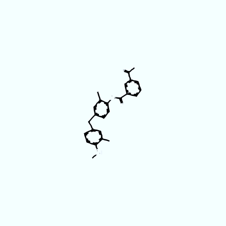 CNc1ccc(Cc2ccc(NC(=O)c3cccc(C(C)=O)c3)c(C)c2)cc1C